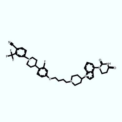 N#Cc1ccc(N2CCC(c3ccc(OCCCCN4CCC(n5ccc6c(N7CCC(=O)NC7=O)cccc65)CC4)cc3F)CC2)cc1C(F)(F)F